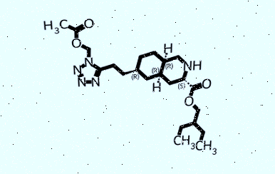 CCC(CC)COC(=O)[C@@H]1C[C@H]2C[C@@H](CCc3nnnn3COC(C)=O)CC[C@H]2CN1